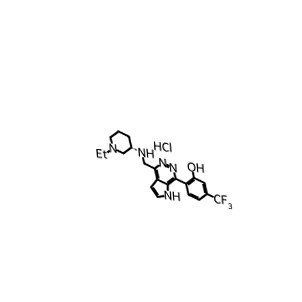 CCN1CCC[C@H](NCc2nnc(-c3ccc(C(F)(F)F)cc3O)c3[nH]ccc23)C1.Cl